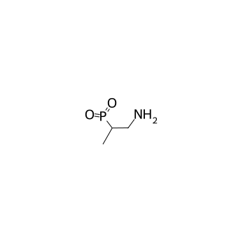 CC(CN)P(=O)=O